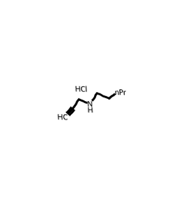 C#CCNCCCCC.Cl